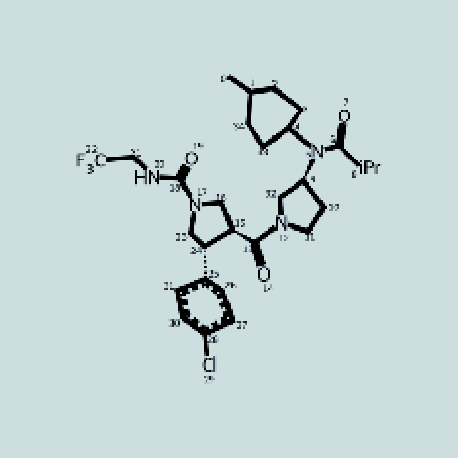 CC1CCC(N(C(=O)C(C)C)[C@H]2CCN(C(=O)[C@@H]3CN(C(=O)NCC(F)(F)F)C[C@H]3c3ccc(Cl)cc3)C2)CC1